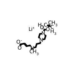 CN(C/C=C/C(=O)[O-])CCCN1CCN(C(=O)OC(C)(C)C)CC1.[Li+]